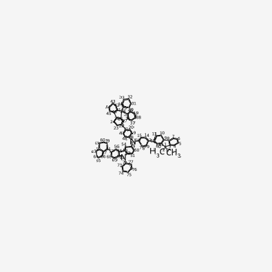 CC1(C)c2ccccc2-c2ccc(-c3ccc(N(c4ccc(-c5ccc6c(c5)C(c5ccccc5)(c5ccccc5)c5ccccc5-6)cc4)c4ccc5c(c4)c4cc(-c6cccc7ccccc67)ccc4n5-c4ccccc4)cc3)cc21